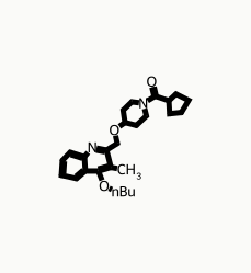 CCCCOc1c(C)c(COC2CCN(C(=O)C3CCCC3)CC2)nc2ccccc12